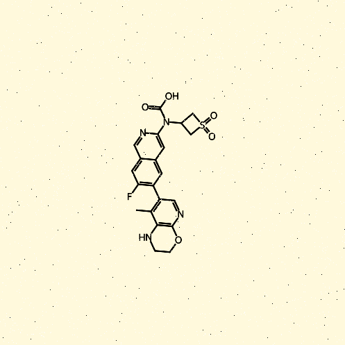 Cc1c(-c2cc3cc(N(C(=O)O)C4CS(=O)(=O)C4)ncc3cc2F)cnc2c1NCCO2